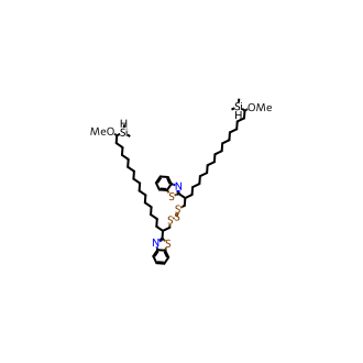 COC(CCCCCCCCCCCCCCCC(CSSSCC(CCCCCCCCCCCCCCCC(OC)[SiH](C)C)c1nc2ccccc2s1)c1nc2ccccc2s1)[SiH](C)C